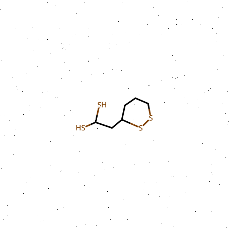 SC(S)CC1CCCSS1